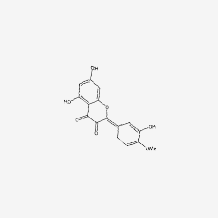 COC1=CCC(=C2Oc3cc(O)cc(O)c3C(=O)C2=O)C=C1O